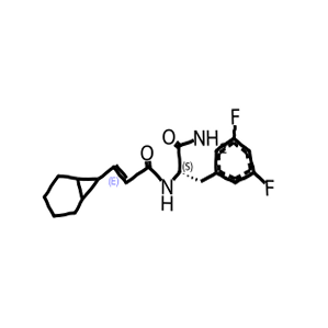 NC(=O)[C@H](Cc1cc(F)cc(F)c1)NC(=O)/C=C/C1C2CCCCC12